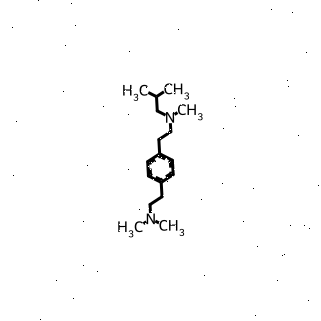 CC(C)CN(C)CCc1ccc(CCN(C)C)cc1